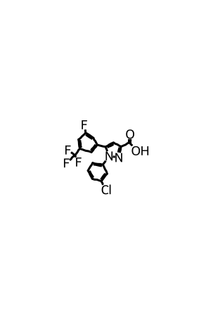 O=C(O)c1cc(-c2cc(F)cc(C(F)(F)F)c2)n(-c2cccc(Cl)c2)n1